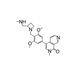 CNCC1CCN1Cc1c(OC)cc(-c2cn(C)c(=O)c3cnccc23)cc1OC